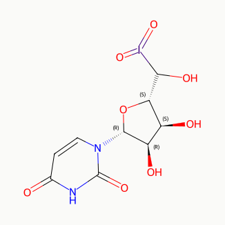 O=c1ccn([C@@H]2O[C@H](C(O)I(=O)=O)[C@@H](O)[C@H]2O)c(=O)[nH]1